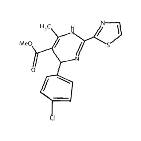 COC(=O)C1=C(C)NC(c2nccs2)=NC1c1ccc(Cl)cc1